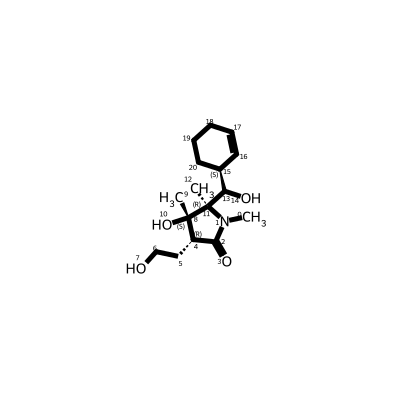 CN1C(=O)[C@H](CCO)[C@](C)(O)[C@@]1(C)C(O)[C@@H]1C=CCCC1